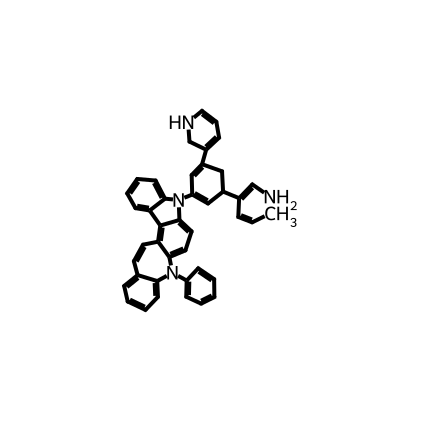 C/C=C\C(=C/N)C1C=C(n2c3ccccc3c3c4c(ccc32)N(c2ccccc2)c2ccccc2C=C4)C=C(C2=CC=CNC2)C1